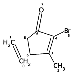 C=C.CC1=C(Br)C(=O)CC1